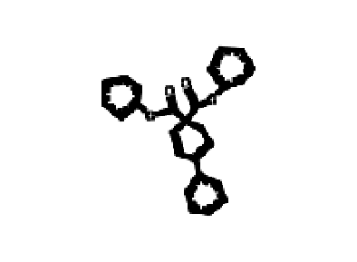 O=C(Oc1ccccc1)C1(C(=O)Oc2ccccc2)C=CC(c2ccccc2)=CC1